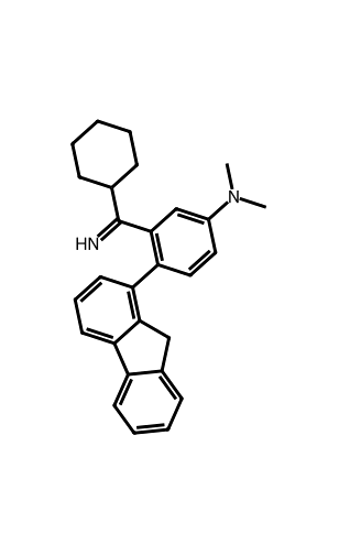 CN(C)c1ccc(-c2cccc3c2Cc2ccccc2-3)c(C(=N)C2CCCCC2)c1